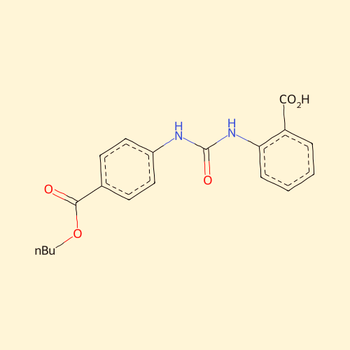 CCCCOC(=O)c1ccc(NC(=O)Nc2ccccc2C(=O)O)cc1